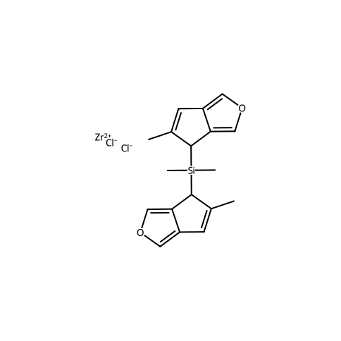 CC1=Cc2cocc2C1[Si](C)(C)C1C(C)=Cc2cocc21.[Cl-].[Cl-].[Zr+2]